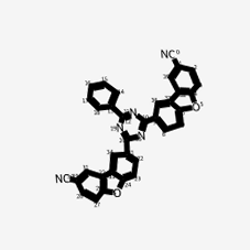 N#Cc1ccc2oc3ccc(-c4nc(-c5ccccc5)nc(-c5ccc6oc7ccc(C#N)cc7c6c5)n4)cc3c2c1